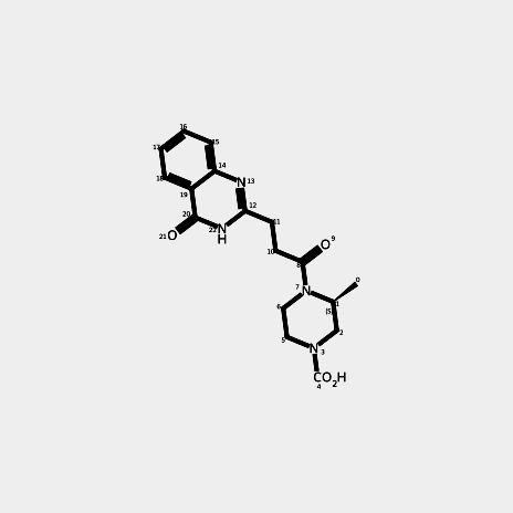 C[C@H]1CN(C(=O)O)CCN1C(=O)CCc1nc2ccccc2c(=O)[nH]1